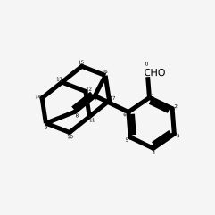 O=Cc1ccccc1C1=CC2CC3CC(C2)CC1C3